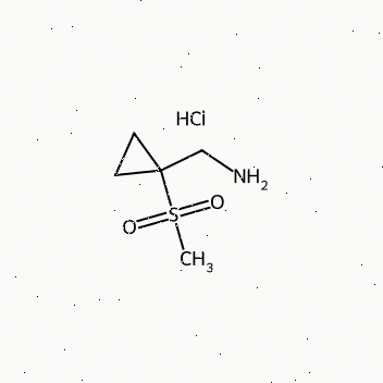 CS(=O)(=O)C1(CN)CC1.Cl